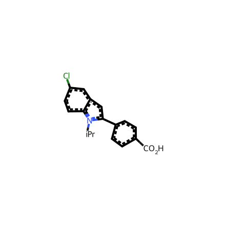 CC(C)n1c(-c2ccc(C(=O)O)cc2)cc2cc(Cl)ccc21